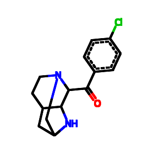 O=C(c1ccc(Cl)cc1)C1C2NC3CC2CCN1C3